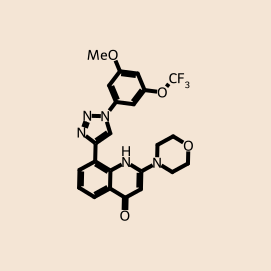 COc1cc(OC(F)(F)F)cc(-n2cc(-c3cccc4c(=O)cc(N5CCOCC5)[nH]c34)nn2)c1